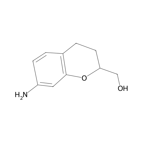 Nc1ccc2c(c1)OC(CO)CC2